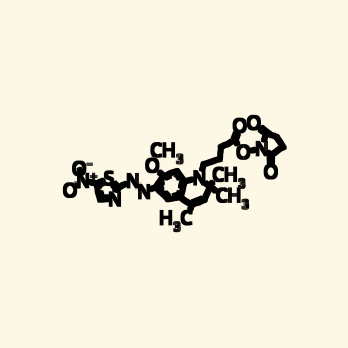 COc1cc2c(cc1N=Nc1ncc([N+](=O)[O-])s1)C(C)=CC(C)(C)N2CCCC(=O)ON1C(=O)CCC1=O